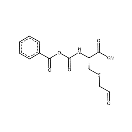 O=CCSC[C@H](NC(=O)OC(=O)c1ccccc1)C(=O)O